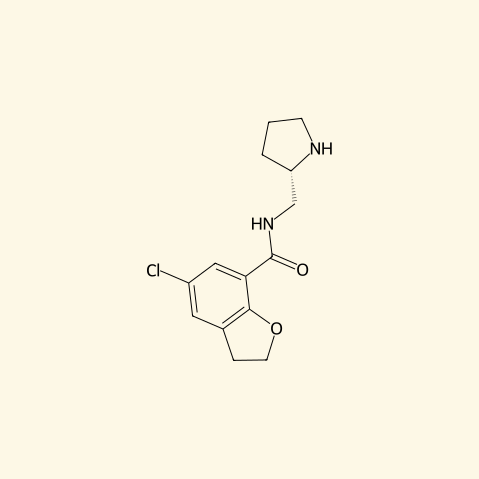 O=C(NC[C@@H]1CCCN1)c1cc(Cl)cc2c1OCC2